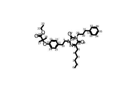 CCCCCCc1nn(CCc2ccc(OC(C)(C)C(=O)OCC)cc2)c(=O)n(CCCc2ccccc2)c1=O